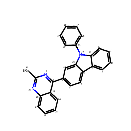 CC(C)(C)c1nc(-c2ccc3c4ccccc4n(-c4ccccc4)c3c2)c2ccccc2n1